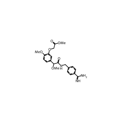 COC(=O)COc1cc(C(OC)C(=O)NCc2ccc(C(=N)N)cc2)ccc1OC